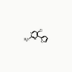 Nc1ncc(Cl)c(-c2ccco2)n1